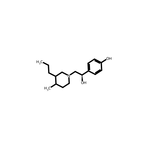 CCCC1CN(C[C@H](O)c2ccc(O)cc2)CCC1C